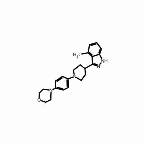 Cc1cccc2[nH]nc(C3CCN(c4ccc(N5CCOCC5)cc4)CC3)c12